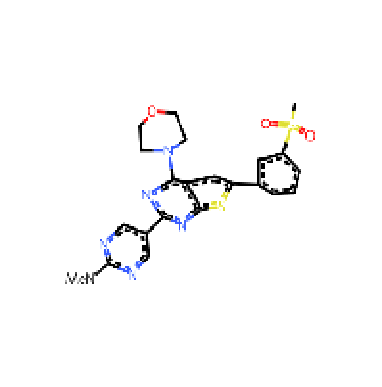 CNc1ncc(-c2nc(N3CCOCC3)c3cc(-c4cccc(S(C)(=O)=O)c4)sc3n2)cn1